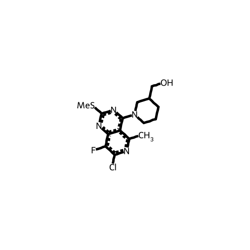 CSc1nc(N2CCCC(CO)C2)c2c(C)nc(Cl)c(F)c2n1